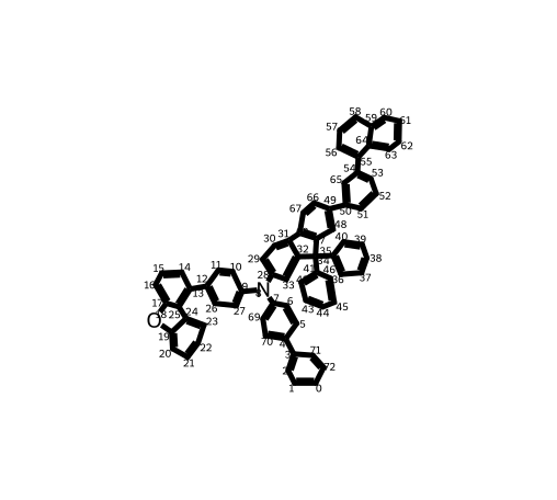 c1ccc(-c2ccc(N(c3ccc(-c4cccc5oc6ccccc6c45)cc3)c3ccc4c(c3)C(c3ccccc3)(c3ccccc3)c3cc(-c5cccc(-c6cccc7ccccc67)c5)ccc3-4)cc2)cc1